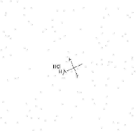 CC(N)(F)F.Cl